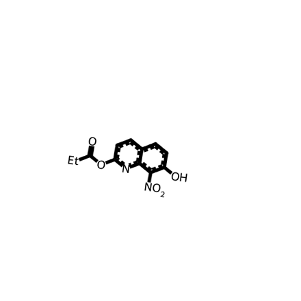 CCC(=O)Oc1ccc2ccc(O)c([N+](=O)[O-])c2n1